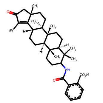 CC(C)C1=C2[C@H]3CC[C@@H]4[C@@]5(C)CCC(NC(=O)c6ccccc6C(=O)O)C(C)(C)[C@@H]5CC[C@@]4(C)[C@]3(C)CC[C@@]2(C)CC1=O